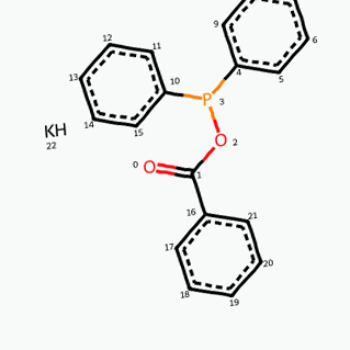 O=C(OP(c1ccccc1)c1ccccc1)c1ccccc1.[KH]